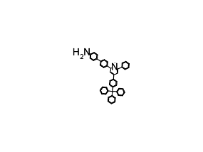 CN1C(c2ccccc2)=CC(c2ccc(C(c3ccccc3)(c3ccccc3)c3ccccc3)cc2)=CC1c1ccc(-c2ccc(N)cc2)cc1